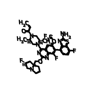 C=CC(=O)N1C[C@H](C)N(c2nc(OC[C@@]34CCCN3C[C@H](F)C4)nc3c(F)c(-c4ccc(F)c5sc(N)nc45)c(OC(F)(F)F)cc23)C[C@H]1C